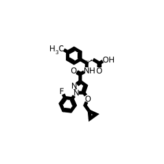 Cc1ccc([C@H](CC(=O)O)NC(=O)c2cc(OCC3CC3)n(-c3ccccc3F)n2)cc1